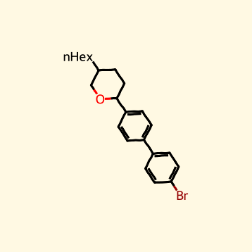 CCCCCCC1CCC(c2ccc(-c3ccc(Br)cc3)cc2)OC1